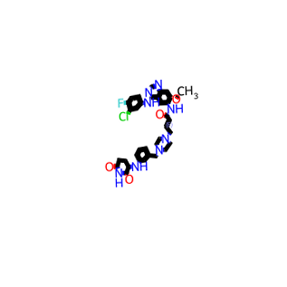 COc1cc2ncnc(Nc3ccc(F)c(Cl)c3)c2cc1NC(=O)/C=C/CN1CCN(Cc2cccc(NC3CCC(=O)NC3=O)c2)CC1